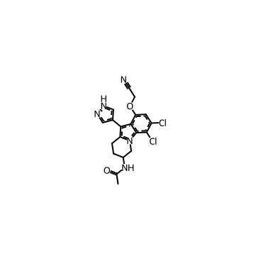 CC(=O)NC1CCc2c(-c3cn[nH]c3)c3c(OCC#N)cc(Cl)c(Cl)c3n2C1